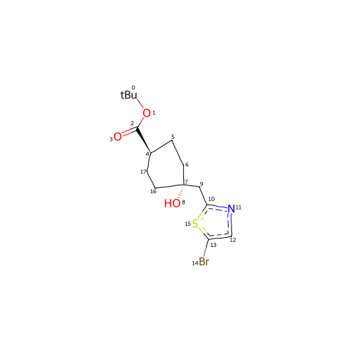 CC(C)(C)OC(=O)[C@H]1CC[C@@](O)(Cc2ncc(Br)s2)CC1